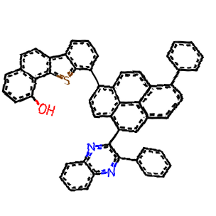 Oc1cccc2ccc3c4cccc(-c5ccc6c(-c7nc8ccccc8nc7-c7ccccc7)cc7ccc(-c8ccccc8)c8ccc5c6c78)c4sc3c12